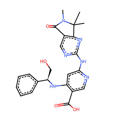 CN1C(=O)c2cnc(Nc3cc(N[C@H](CO)c4ccccc4)c(C(=O)O)cn3)nc2C1(C)C